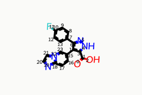 O=C(O)c1[nH]nc(-c2ccc(F)cc2)c1-c1ccc2nccn2c1